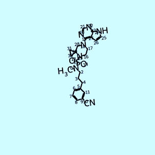 CN(CCCc1cccc(C#N)c1)S(=O)(=O)N1CCN(c2ncnc3[nH]ccc23)CC12CC2